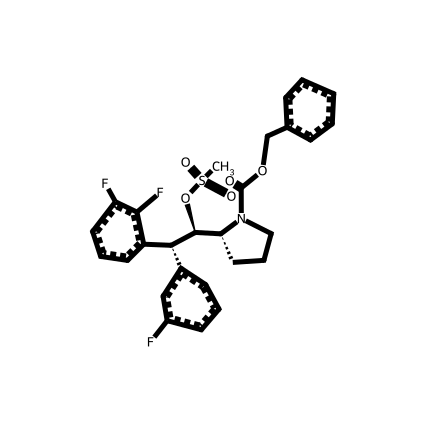 CS(=O)(=O)O[C@H]([C@H](c1cccc(F)c1)c1cccc(F)c1F)[C@H]1CCCN1C(=O)OCc1ccccc1